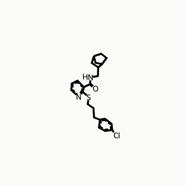 O=C(NCC1CC2CCC1C2)c1cccnc1SCCCc1ccc(Cl)cc1